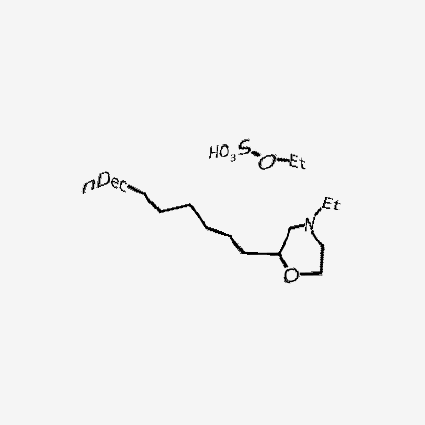 CCCCCCCCCCCCCCCCC1CN(CC)CCO1.CCOS(=O)(=O)O